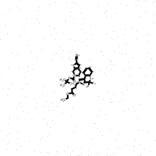 CCOC(=O)CCCn1cc(-c2ccccc2[C@@H]2CN(C(=O)OC(C)(C)C)Cc3sc(C#N)cc32)c(C(F)(F)F)n1